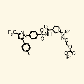 Cc1ccc(-c2cc(C(F)(F)F)nn2-c2ccc(S(=O)(=O)NC(=O)C3CCN([N+]([O-])=NOCOC(=O)OC(C)C)C3)cc2)cc1